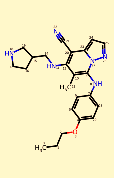 CCCOc1ccc(Nc2c(C)c(NCC3CCNC3)c(C#N)c3ccnn23)cc1